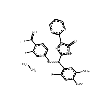 CC(=O)O.COc1cc(F)c(C(Nc2ccc(C(=N)N)c(F)c2)c2nn(-c3ncccn3)c(=O)[nH]2)cc1OC